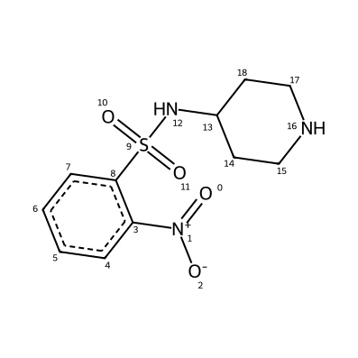 O=[N+]([O-])c1ccccc1S(=O)(=O)NC1CCNCC1